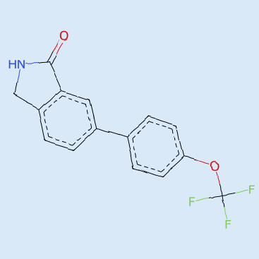 O=C1NCc2ccc(-c3ccc(OC(F)(F)F)cc3)cc21